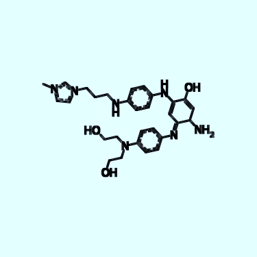 C[n+]1ccn(CCCNc2ccc(NC3=CC(=Nc4ccc(N(CCO)CCO)cc4)C(N)C=C3O)cc2)c1